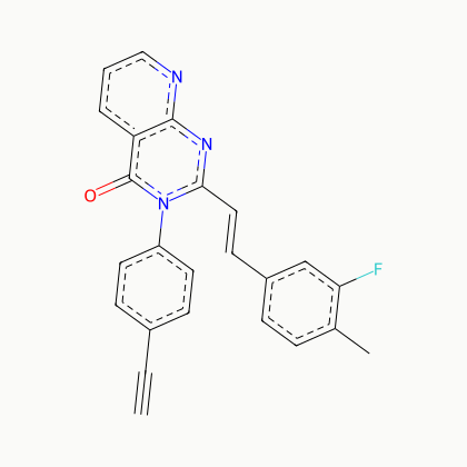 C#Cc1ccc(-n2c(/C=C/c3ccc(C)c(F)c3)nc3ncccc3c2=O)cc1